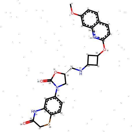 COc1ccc2ccc(OC3CC(NC[C@@H]4CN(c5ccc6c(c5)NC(=O)CS6)C(=O)O4)C3)nc2c1